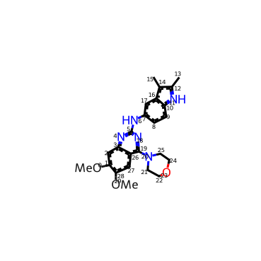 COc1cc2nc(Nc3ccc4[nH]c(C)c(C)c4c3)nc(N3CCOCC3)c2cc1OC